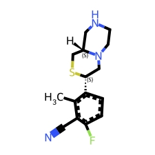 Cc1c([C@H]2CN3CCNC[C@H]3CS2)ccc(F)c1C#N